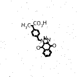 CC(C(=O)O)c1ccc(Cn2nnc3c2C(=O)c2ccccc2C3=O)cc1